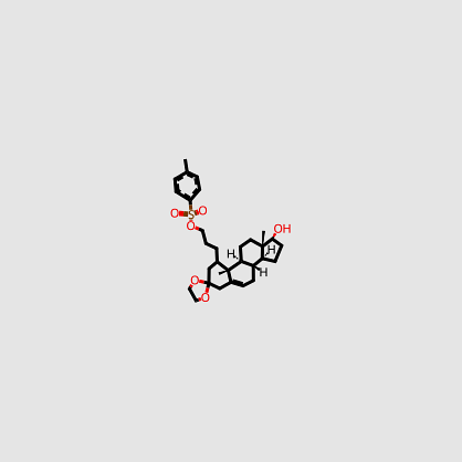 Cc1ccc(S(=O)(=O)OCCCC2CC3(CC4=CC[C@H]5[C@@H]6CC[C@H](O)[C@@]6(C)CC[C@@H]5[C@]42C)OCCO3)cc1